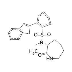 CCN([C@@H]1CCCCNC1=O)S(=O)(=O)c1ccccc1C1=Cc2ccccc2C1